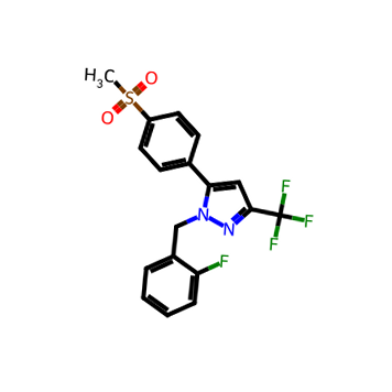 CS(=O)(=O)c1ccc(-c2cc(C(F)(F)F)nn2Cc2ccccc2F)cc1